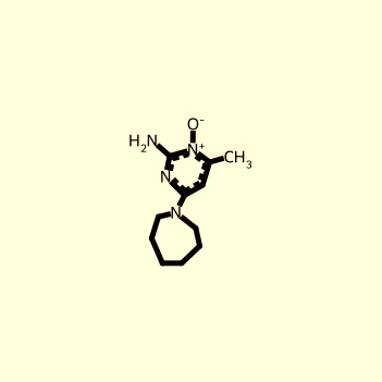 Cc1cc(N2CCCCCC2)nc(N)[n+]1[O-]